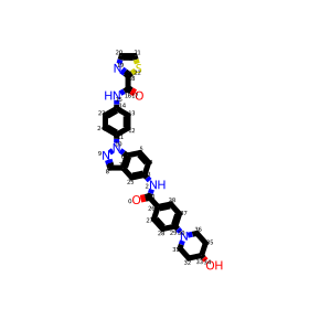 O=C(Nc1ccc2c(cnn2-c2ccc(NC(=O)c3nccs3)cc2)c1)c1ccc(N2CCC(O)CC2)cc1